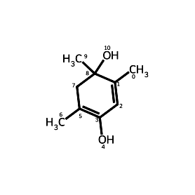 CC1=CC(O)=C(C)CC1(C)O